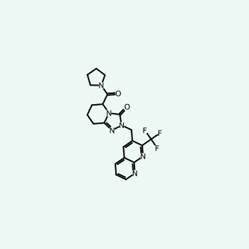 O=C(C1CCCc2nn(Cc3cc4cccnc4nc3C(F)(F)F)c(=O)n21)N1CCCC1